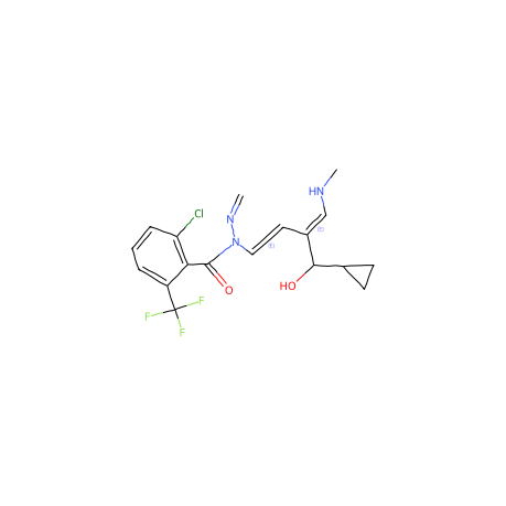 C=NN(/C=C/C(=C\NC)C(O)C1CC1)C(=O)c1c(Cl)cccc1C(F)(F)F